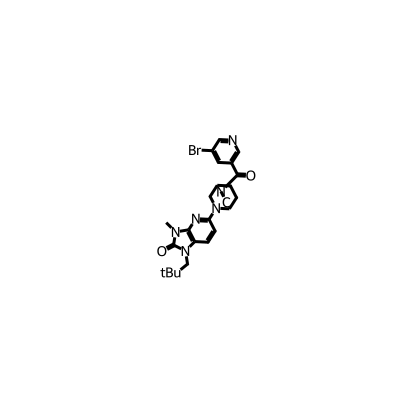 Cn1c(=O)n(CC(C)(C)C)c2ccc(N3CC4CCC3CN4C(=O)c3cncc(Br)c3)nc21